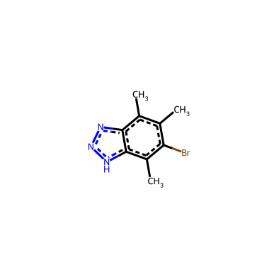 Cc1c(Br)c(C)c2[nH]nnc2c1C